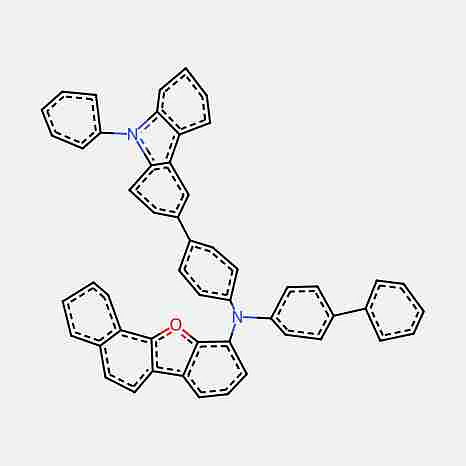 c1ccc(-c2ccc(N(c3ccc(-c4ccc5c(c4)c4ccccc4n5-c4ccccc4)cc3)c3cccc4c3oc3c5ccccc5ccc43)cc2)cc1